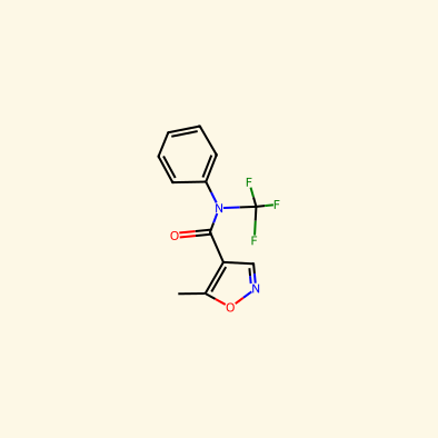 Cc1oncc1C(=O)N(c1ccccc1)C(F)(F)F